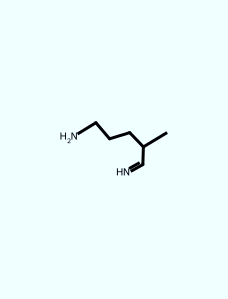 CC(C=N)CCCN